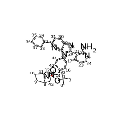 CC(C)(C)OC(=O)N1C2CCC1CN(Cc1ccc(-n3c(-c4cccnc4N)nc4ccc(-c5ccccc5)nc43)cc1)C2